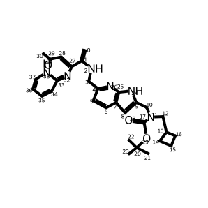 C=C(NCc1ccc2cc(CN(CC3CCC3)C(=O)OC(C)(C)C)[nH]c2n1)C(=C/C(C)=O)/N=c1/cccc[nH]1